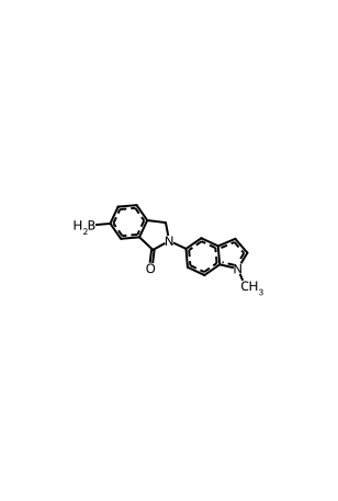 Bc1ccc2c(c1)C(=O)N(c1ccc3c(ccn3C)c1)C2